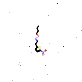 CCCCON=CCc1ccc([N+](=O)[O-])s1